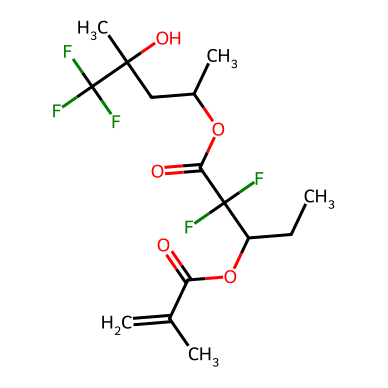 C=C(C)C(=O)OC(CC)C(F)(F)C(=O)OC(C)CC(C)(O)C(F)(F)F